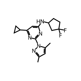 Cc1cc(C)n(-c2nc(NC3CCC(F)(F)C3)cc(C3CC3)n2)n1